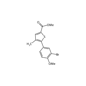 COC(=O)c1cc(C)c(-c2ccc(OC)c(Br)c2)s1